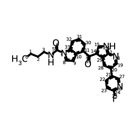 CCCCNC(=O)n1ccc2c(C(=O)c3c[nH]c4ncc(-c5ccc(F)nc5)cc34)cccc21